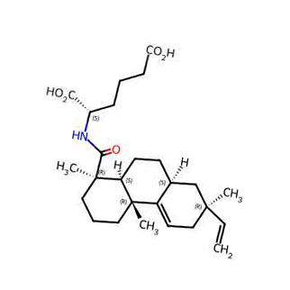 C=C[C@@]1(C)CC=C2[C@@H](CC[C@@H]3[C@](C)(C(=O)N[C@@H](CCCC(=O)O)C(=O)O)CCC[C@@]23C)C1